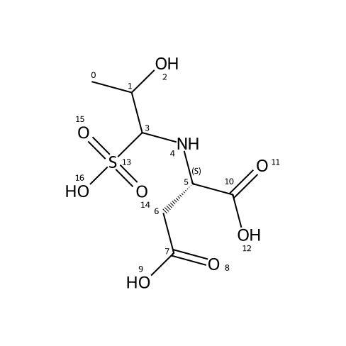 CC(O)C(N[C@@H](CC(=O)O)C(=O)O)S(=O)(=O)O